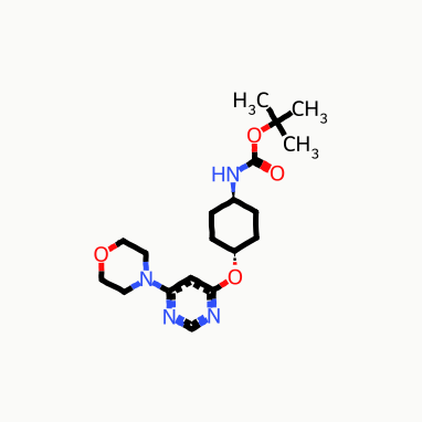 CC(C)(C)OC(=O)N[C@H]1CC[C@H](Oc2cc(N3CCOCC3)ncn2)CC1